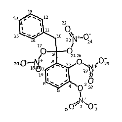 O=[N+]([O-])Oc1cccc(C(Cc2ccccc2)(O[N+](=O)[O-])O[N+](=O)[O-])c1O[N+](=O)[O-]